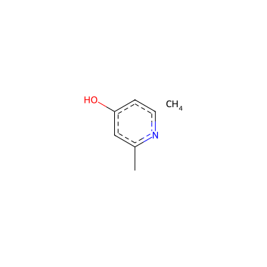 C.Cc1cc(O)ccn1